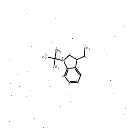 CCC1CN(C(C)(C)C)c2ccccc21